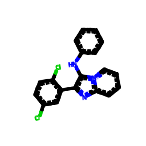 Clc1ccc(Cl)c(-c2nc3ccccn3c2Nc2ccccc2)c1